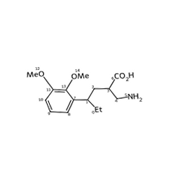 CCC(CC(CN)C(=O)O)c1cccc(OC)c1OC